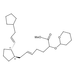 COC(=O)C(CCC=CC[C@H]1CCC[C@@H]1C=CCC1CCCC1)OC1CCCCO1